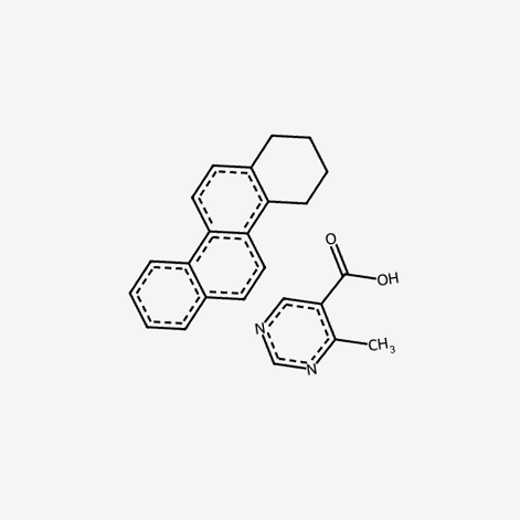 Cc1ncncc1C(=O)O.c1ccc2c(c1)ccc1c3c(ccc12)CCCC3